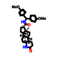 COc1ccc(C(NC(=O)[C@H]2CC[C@H]3[C@@H]4CC=C5NC(=O)CC[C@]5(C)[C@H]4CC[C@]23C)c2ccc(OC)cc2)cc1